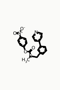 CN(Cc1cccc(-c2ccncc2)c1)C(=O)Oc1ccc([N+](=O)[O-])cc1